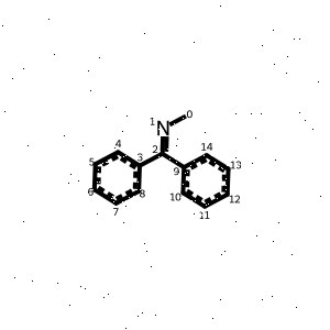 CN=C(c1ccccc1)c1ccccc1